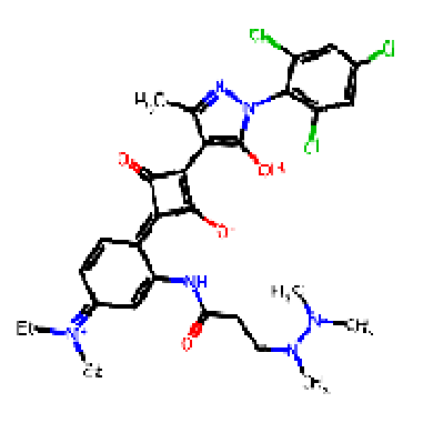 CC[N+](CC)=C1C=C/C(=C2\C(=O)C(c3c(C)nn(-c4c(Cl)cc(Cl)cc4Cl)c3O)=C2[O-])C(NC(=O)CCN(C)N(C)C)=C1